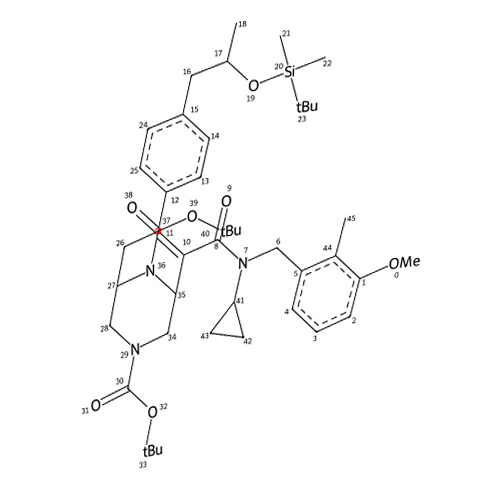 COc1cccc(CN(C(=O)C2=C(c3ccc(CC(C)O[Si](C)(C)C(C)(C)C)cc3)CC3CN(C(=O)OC(C)(C)C)CC2N3C(=O)OC(C)(C)C)C2CC2)c1C